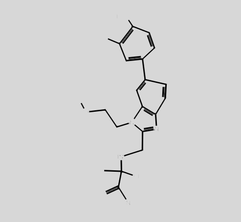 CCOCCn1c(CNC(C)(C)C(N)=O)nc2ccc(-c3ccc(C)c(C)c3)cc21